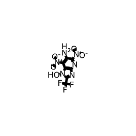 Nc1c([N+](=O)[O-])nc2nc(C(F)(F)F)n(O)c2c1[N+](=O)[O-]